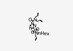 C=CCN(CC=C)C(=O)n1cnc(S(=O)(=O)N(CC=C)CCCCCC)n1